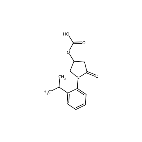 CC(C)c1ccccc1N1CC(OC(=O)O)CC1=O